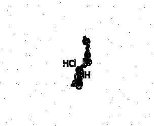 CCOC(=O)C(CC)(CC)CC(=O)Nc1cccc(C=Cc2cccc(COCCCCc3ccc(C)cc3)n2)c1.Cl